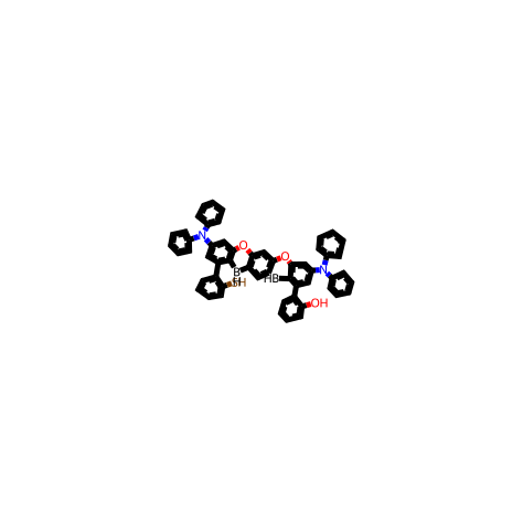 Oc1ccccc1-c1cc(N(c2ccccc2)c2ccccc2)cc2c1Bc1cc3c(cc1O2)Oc1cc(N(c2ccccc2)c2ccccc2)cc(-c2ccccc2S)c1B3